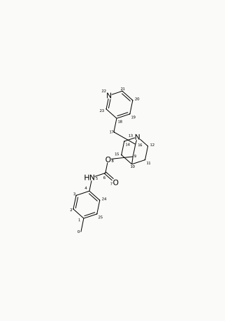 Cc1ccc(NC(=O)OC2C3CCN(CC3)C2Cc2cccnc2)cc1